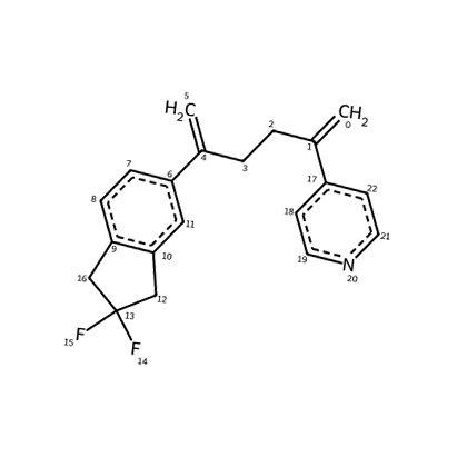 C=C(CCC(=C)c1ccc2c(c1)CC(F)(F)C2)c1ccncc1